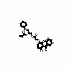 C=CC(=O)OC(COC(=O)COc1ccc(Cl)c2c(=O)c3ccccc3sc12)COC1CCCCC1